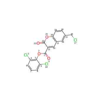 O=C(Oc1c(Cl)cccc1Cl)c1cc2cc(CCl)ccc2oc1=O